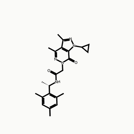 Cc1cc(C)c([C@H](C)NC(=O)Cn2nc(C)c3c(C)nn(C4CC4)c3c2=O)c(C)c1